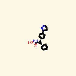 O=C(NO)[C@@H]1[C@H](c2ccccc2)[C@H]1c1ccc(-c2cccnn2)cc1